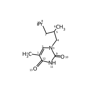 Cc1cn(CC(C)CC(C)C)c(=O)[nH]c1=O